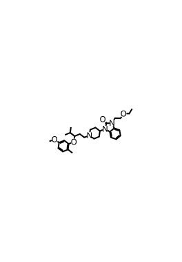 CCOCCn1c(=O)n(C2CCN(CCC(Oc3cc(OC)ccc3C)C(C)C)CC2)c2ccccc21